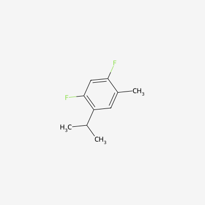 Cc1cc(C(C)C)c(F)cc1F